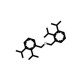 CC(C)c1cccc(COCc2cccc(C(C)C)c2C(C)C)c1C(C)C